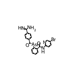 N=C(N)c1ccc(C(=O)[AsH]c2ccccc2C(=O)Nc2ccc(Br)cn2)cc1